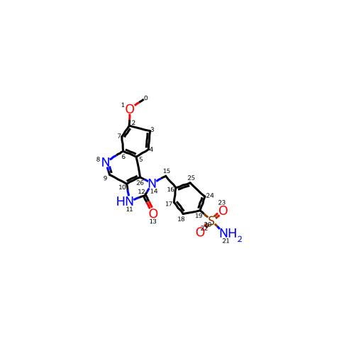 COc1ccc2c(c1)ncc1[nH]c(=O)n(Cc3ccc(S(N)(=O)=O)cc3)c12